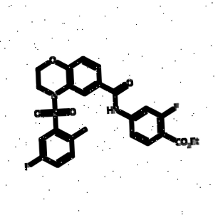 CCOC(=O)c1ccc(NC(=O)c2ccc3c(c2)N(S(=O)(=O)c2cc(F)ccc2C)CCO3)cc1F